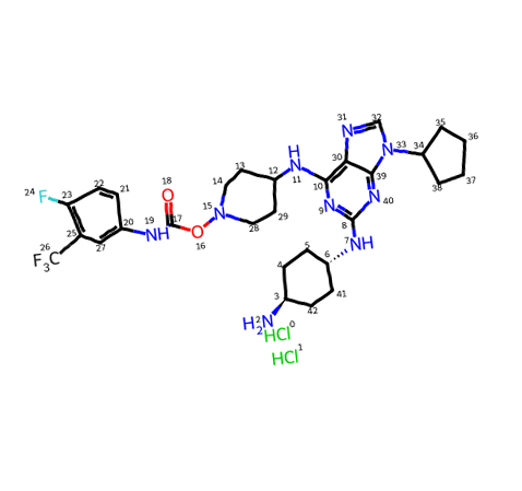 Cl.Cl.N[C@H]1CC[C@H](Nc2nc(NC3CCN(OC(=O)Nc4ccc(F)c(C(F)(F)F)c4)CC3)c3ncn(C4CCCC4)c3n2)CC1